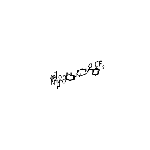 O=C(Nc1nnn[nH]1)Oc1ccc(N2CCN(C(=O)c3ccccc3C(F)(F)F)CC2)nn1